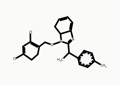 Cc1ccc(C(C)C2=NC3=CC=CCC3N2OCC2=C(Cl)C=C(Cl)CC2)cc1